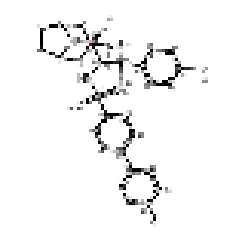 NC1CC2CCC(C1)N2C(=O)[C@H](NS(=O)(=O)c1ccc(-c2ccc(F)cc2)cc1)C(F)(F)c1ccc(Br)cc1